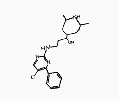 CC1CC(C(O)CCNc2ncc(Cl)c(-c3ccccc3)n2)CC(C)N1